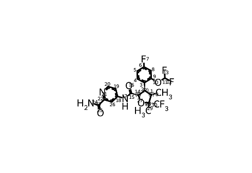 C[C@@H]1[C@H](c2ccc(F)cc2OC(F)F)[C@H](C(=O)Nc2ccnc(C(N)=O)c2)O[C@@]1(C)C(F)(F)F